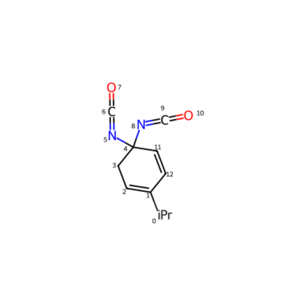 CC(C)C1=CCC(N=C=O)(N=C=O)C=C1